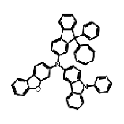 C1=CCC=CC(C2(c3ccccc3)c3ccccc3-c3ccc(N(C4=CC=C5c6ccccc6OC5C4)c4ccc5c(c4)c4ccccc4n5-c4ccccc4)cc32)=C1